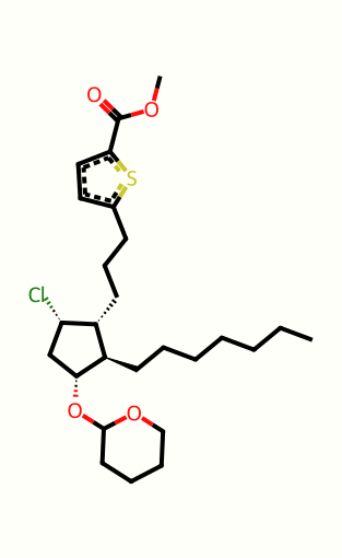 CCCCCCC[C@@H]1[C@@H](CCCc2ccc(C(=O)OC)s2)[C@@H](Cl)C[C@H]1OC1CCCCO1